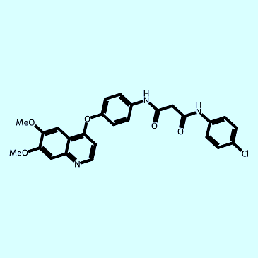 COc1cc2nccc(Oc3ccc(NC(=O)CC(=O)Nc4ccc(Cl)cc4)cc3)c2cc1OC